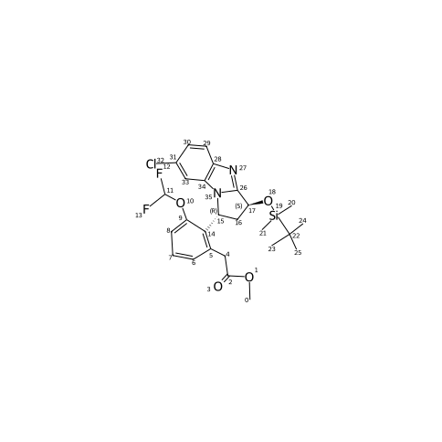 COC(=O)Cc1cccc(OC(F)F)c1[C@H]1C[C@H](O[Si](C)(C)C(C)(C)C)c2nc3ccc(Cl)cc3n21